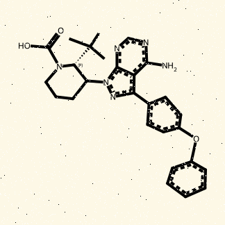 CC(C)(C)[C@@H]1C(n2nc(-c3ccc(Oc4ccccc4)cc3)c3c(N)ncnc32)CCCN1C(=O)O